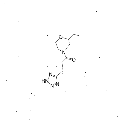 CCC1CN(C(=O)CCc2nn[nH]n2)CCO1